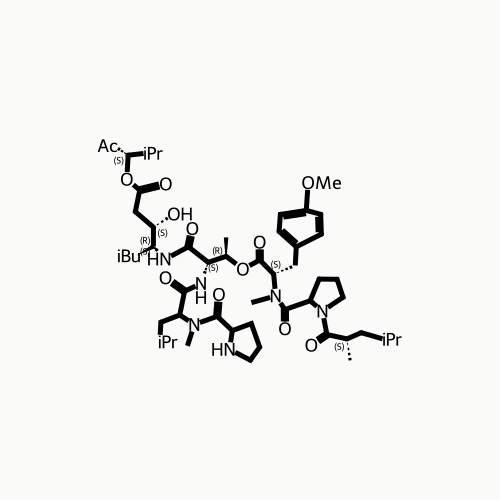 CC[C@H](C)[C@@H](NC(=O)[C@@H](NC(=O)C(CC(C)C)N(C)C(=O)C1CCCN1)[C@@H](C)OC(=O)[C@H](Cc1ccc(OC)cc1)N(C)C(=O)C1CCCN1C(=O)[C@@H](C)CC(C)C)[C@@H](O)CC(=O)O[C@H](C(C)=O)C(C)C